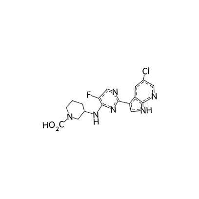 O=C(O)N1CCCC(Nc2nc(-c3c[nH]c4ncc(Cl)cc34)ncc2F)C1